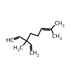 [CH]=CC(C)(C=C)CCC=C(C)C